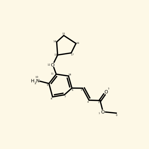 COC(=O)C=Cc1ccc(N)c(OC2CCCC2)c1